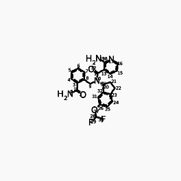 NC(=O)c1ccccc1CN(C(=O)c1cccnc1N)[C@@H]1CCc2ccc(OC(F)F)cc21